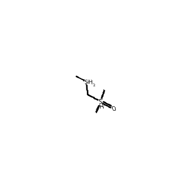 C[SiH2]C[SH](C)(C)=O